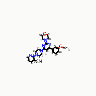 C[C@@H]1CN(c2ncccc2C#N)CCN1c1cc(-c2cccc(OC(F)(F)F)c2)nc(N2CCOCC2)n1